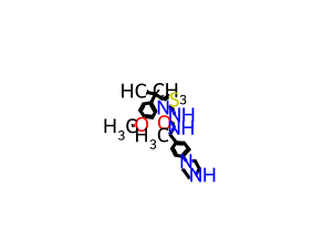 C#C[C@@](C)(c1ccc(OC)cc1)c1csc(NC(=O)NC(C)c2ccc(N3CCNCC3)cc2)n1